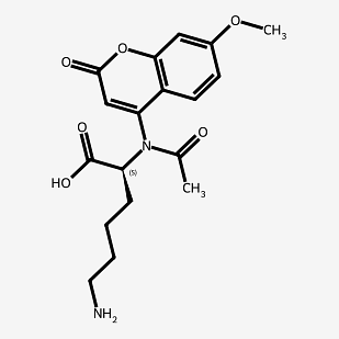 COc1ccc2c(N(C(C)=O)[C@@H](CCCCN)C(=O)O)cc(=O)oc2c1